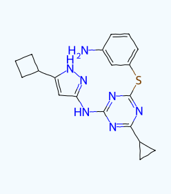 Nc1cccc(Sc2nc(Nc3cc(C4CCC4)[nH]n3)nc(C3CC3)n2)c1